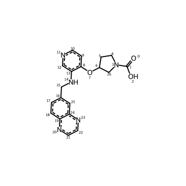 O=C(O)N1CCC(Oc2ccncc2NCc2ccc3nccnc3c2)C1